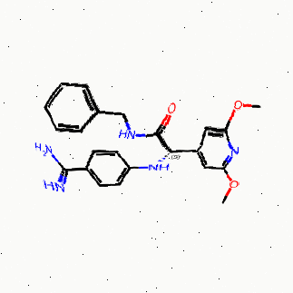 COc1cc([C@H](Nc2ccc(C(=N)N)cc2)C(=O)NCc2ccccc2)cc(OC)n1